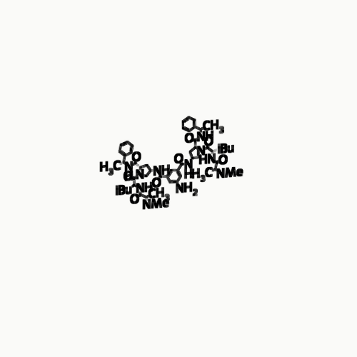 CC[C@H](C)[C@H](NC(=O)[C@H](C)NC)C(=O)N1C[C@@H](NC(=O)c2cc(N)cc(C(=O)N[C@H]3C[C@@H](C(=O)N[C@H](C)c4ccccc4)N(C(=O)[C@@H](NC(=O)[C@H](C)NC)[C@@H](C)CC)C3)c2)C[C@H]1C(=O)N[C@H](C)c1ccccc1